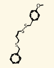 COc1ccc(CSS/C=C\CSCc2ccccc2)cc1